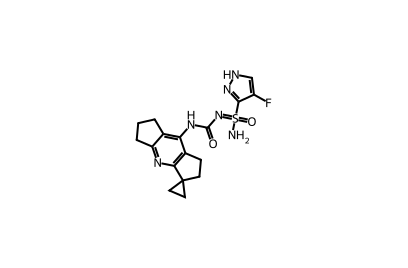 NS(=O)(=NC(=O)Nc1c2c(nc3c1CCC31CC1)CCC2)c1n[nH]cc1F